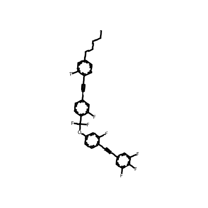 CCCCCc1ccc(C#Cc2ccc(C(F)(F)Oc3ccc(C#Cc4cc(F)c(F)c(F)c4)c(F)c3)c(F)c2)c(F)c1